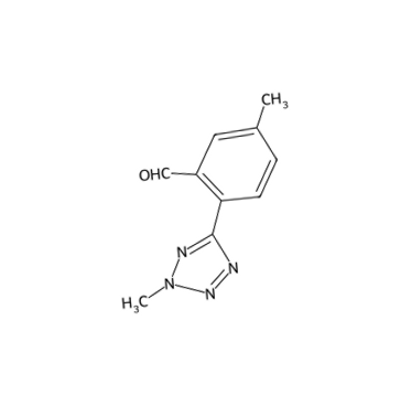 Cc1ccc(-c2nnn(C)n2)c(C=O)c1